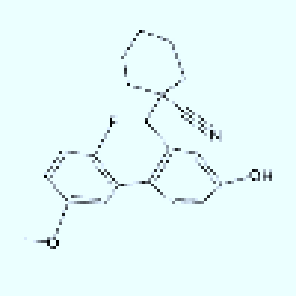 COc1ccc(F)c(-c2ccc(O)cc2CC2(C#N)CCCCC2)c1